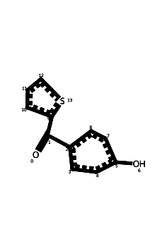 O=C(c1ccc(O)cc1)c1cccs1